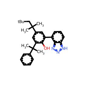 CC(C)(C)CC(C)(C)c1cc(-c2cccc3[nH]nnc23)c(O)c(C(C)(C)c2ccccc2)c1